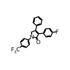 O=C1C(c2ccc(F)cc2)=C(c2ccccc2)CN1c1ccc(C(F)(F)F)cc1